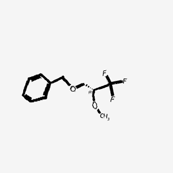 CO[C@H](COCc1ccccc1)C(F)(F)F